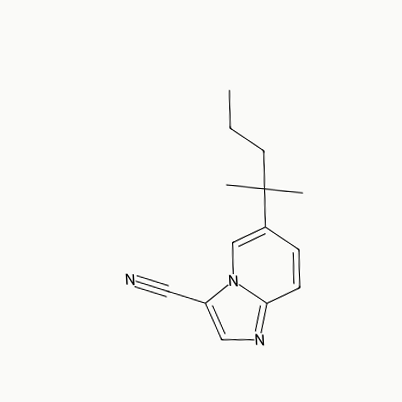 CCCC(C)(C)c1ccc2ncc(C#N)n2c1